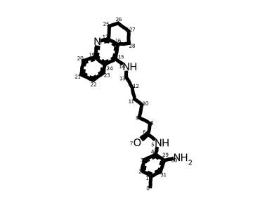 Cc1ccc(NC(=O)CCCCCCNc2c3c(nc4ccccc24)CCCC3)c(N)c1